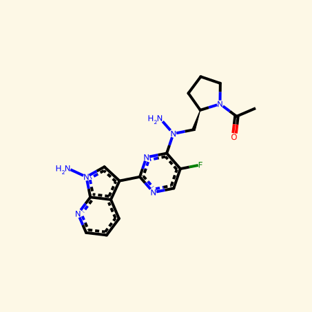 CC(=O)N1CCC[C@@H]1CN(N)c1nc(-c2cn(N)c3ncccc23)ncc1F